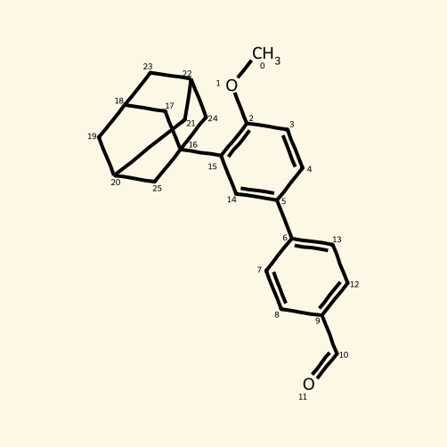 COc1ccc(-c2ccc(C=O)cc2)cc1C12CC3CC(CC(C3)C1)C2